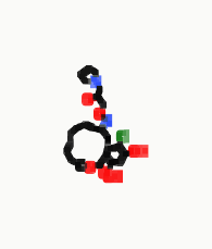 O=C(CO/N=C1\C=C\CC/C=C/CCOC(=O)c2c(O)cc(O)c(Cl)c2C1)CN1CC=CC1